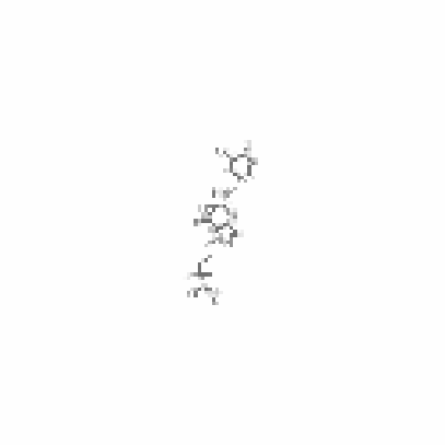 CNC(=O)C(C)(C)CCCn1ncc2nc(NCc3ccc(Cl)c(Cl)c3)[nH]c(=O)c21